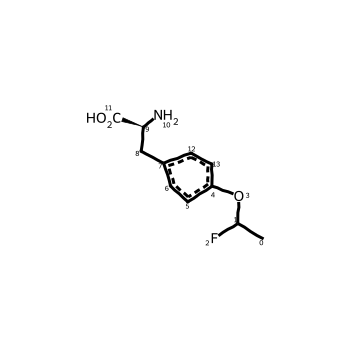 CC(F)Oc1ccc(C[C@H](N)C(=O)O)cc1